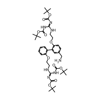 CC(C)(C)OC(=O)/N=C(/NCCOc1ccccc1-c1cc(CN)ccc1OCCN/C(=N/C(=O)OC(C)(C)C)NC(=O)OC(C)(C)C)NC(=O)OC(C)(C)C